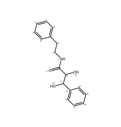 O=C(NCCc1ccccc1)C(O)C(O)c1ccccc1